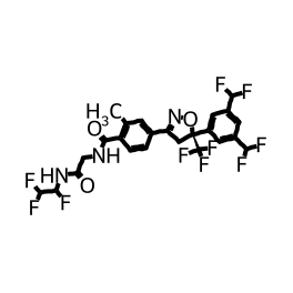 Cc1cc(C2=NO[C@@](c3cc(C(F)F)cc(C(F)F)c3)(C(F)(F)F)C2)ccc1C(=O)NCC(=O)NC(F)C(F)F